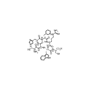 CC(C)[C@@H](NC(=O)[C@@H](N)CS)C(=O)N[C@@H](Cc1c[nH]cn1)C(=O)N[C@H](Cc1ccccc1)C(=O)N[C@@H](CCCNC(=N)N)C(=O)N[C@@H](Cc1c[nH]c2ccccc12)C(=O)N[C@@H](CS)C(=O)O